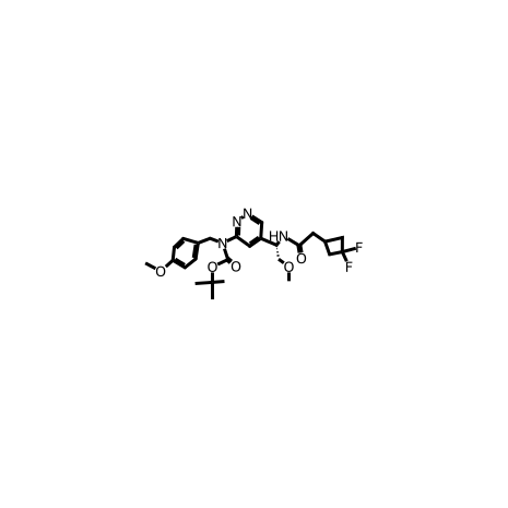 COC[C@@H](NC(=O)CC1CC(F)(F)C1)c1cnnc(N(Cc2ccc(OC)cc2)C(=O)OC(C)(C)C)c1